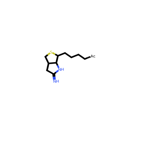 CC(=O)CCCCC1SCC2CC(=N)NC21